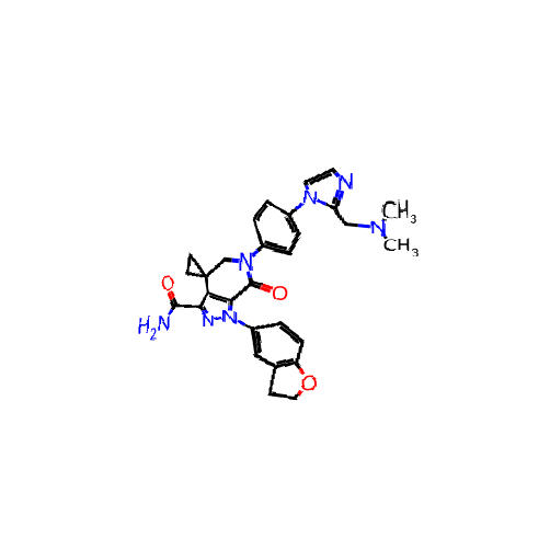 CN(C)Cc1nccn1-c1ccc(N2CC3(CC3)c3c(C(N)=O)nn(-c4ccc5c(c4)CCO5)c3C2=O)cc1